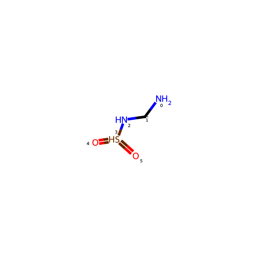 N[CH]N[SH](=O)=O